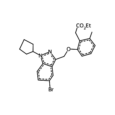 CCOC(=O)Cc1c(C)cccc1OCc1nn(C2CCCC2)c2ccc(Br)cc12